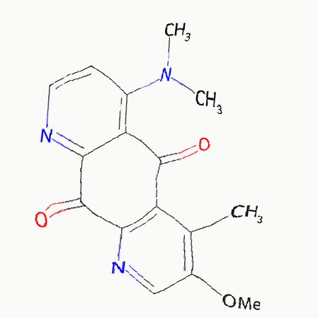 COc1cnc2c(c1C)C(=O)c1c(N(C)C)ccnc1C2=O